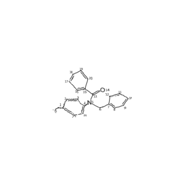 [CH2]c1ccc(N(Cc2ccccc2)C(=O)c2ccccc2)cc1